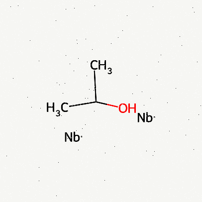 CC(C)O.[Nb].[Nb]